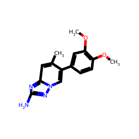 COc1ccc(-c2cn3nc(N)nc3cc2C)cc1OC